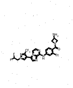 CCc1cc(Nc2nccn3c(-c4cn(CC(F)F)nc4C(F)(F)F)cnc23)ccc1C(=O)N1CC(N)C1